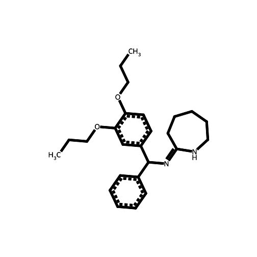 CCCOc1ccc(C(N=C2CCCCCN2)c2ccccc2)cc1OCCC